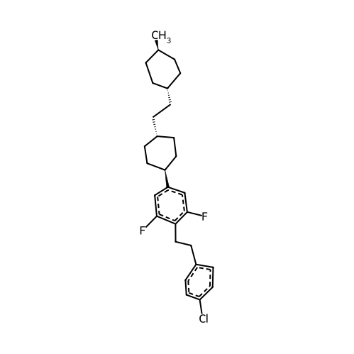 C[C@H]1CC[C@H](CC[C@H]2CC[C@H](c3cc(F)c(CCc4ccc(Cl)cc4)c(F)c3)CC2)CC1